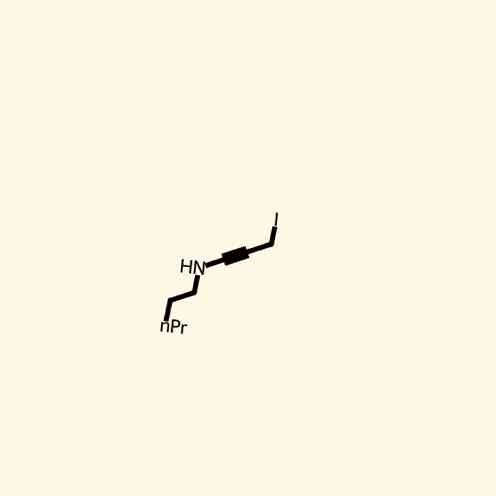 CCCCCNC#CCI